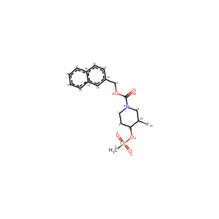 CS(=O)(=O)OC1CCN(C(=O)OCc2ccc3ccccc3c2)CC1F